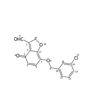 O=CC1=C2C(=O)C=CC(OCc3cccc(Cl)c3)=C2OC1